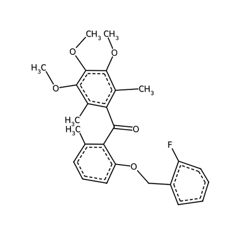 COc1c(C)c(C(=O)c2c(C)cccc2OCc2ccccc2F)c(C)c(OC)c1OC